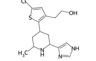 CC1CC(c2sc(Cl)cc2CCO)CC(c2c[nH]cn2)N1